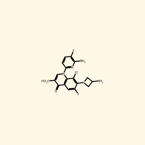 Nc1nc(-n2cc(C(=O)O)c(=O)c3cc(F)c(N4CC(N)C4)c(Cl)c32)ccc1F